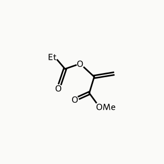 C=C(OC(=O)CC)C(=O)OC